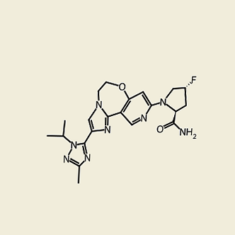 Cc1nc(-c2cn3c(n2)-c2cnc(N4C[C@H](F)C[C@H]4C(N)=O)cc2OCC3)n(C(C)C)n1